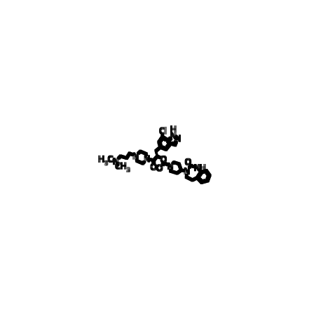 CN(C)CCCN1CCN(C(=O)[C@@H](Cc2cc(Cl)c3[nH]ncc3c2)OC(=O)N2CCC(N3CCc4ccccc4NC3=O)CC2)CC1